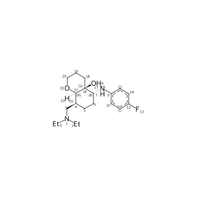 CCN(CC)C[C@@H]1CC[C@@H](Nc2ccc(F)cc2)[C@@]2(O)CCCO[C@H]12